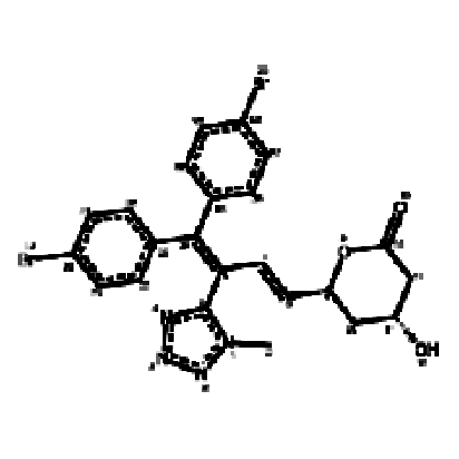 Cn1nnnc1C(/C=C/[C@@H]1C[C@@H](O)CC(=O)O1)=C(c1ccc(Br)cc1)c1ccc(Br)cc1